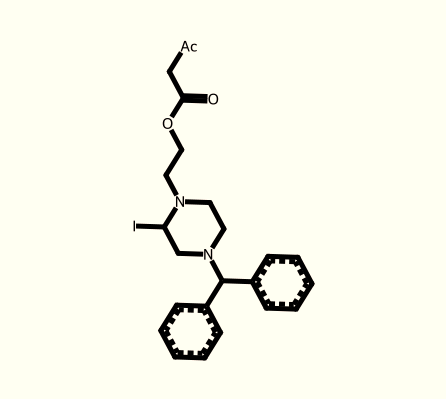 CC(=O)CC(=O)OCCN1CCN(C(c2ccccc2)c2ccccc2)CC1I